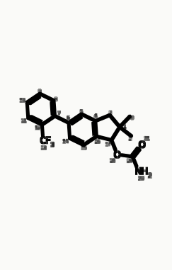 CC1(C)Cc2cc(-c3ccccc3C(F)(F)F)ccc2C1OC(N)=O